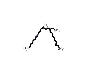 [CH2]CCCCC/C=C/CCCC(C)CCC(CC)CCCCCCCC[CH2]